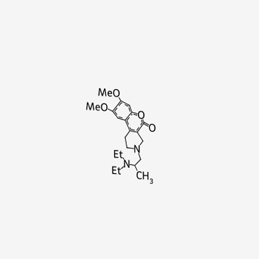 CCN(CC)C(C)CN1CCc2c(c(=O)oc3cc(OC)c(OC)cc23)C1